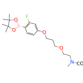 CN(CCOCCCOc1ccc(B2OC(C)(C)C(C)(C)O2)c(F)c1)C(=O)O